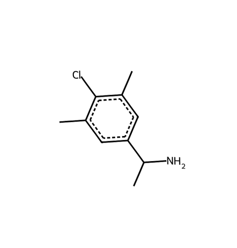 Cc1cc(C(C)N)cc(C)c1Cl